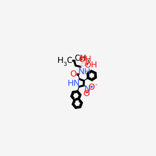 CC(C)CC(NC(=O)[C@@H]1N[C@H](c2ccc3ccccc3c2)[C@@H]([N+](=O)[O-])[C@@H]1c1ccccc1)B(O)O